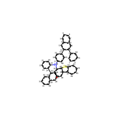 c1ccc(-c2cc3ccccc3cc2-c2ccc(N(c3ccccc3-c3cccc4ccccc34)c3cccc4c3sc3ccccc34)cc2)cc1